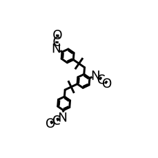 CC(C)(Cc1ccc(N=C=O)cc1)c1ccc(N=C=O)c(CC(C)(C)c2ccc(N=C=O)cc2)c1